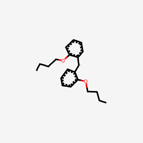 CCCCOc1ccccc1[CH]c1ccccc1OCCCC